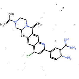 C=C(CCCC)N1CCN(C(=C)c2ccc3c(Cl)cc(-c4ccc(N)c(C(=N)N)c4)nc3c2)C(C)C1